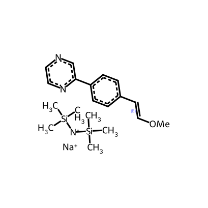 CO/C=C/c1ccc(-c2cnccn2)cc1.C[Si](C)(C)[N-][Si](C)(C)C.[Na+]